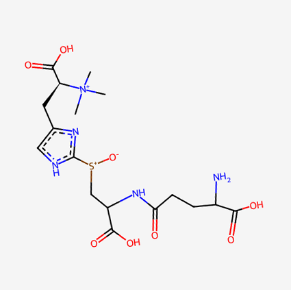 C[N+](C)(C)[C@@H](Cc1c[nH]c([S+]([O-])CC(NC(=O)CCC(N)C(=O)O)C(=O)O)n1)C(=O)O